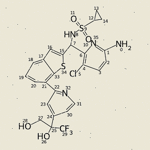 Nc1ccc(Cl)c(C(NS(=O)(=O)C2CC2)c2cc3cccc(-c4cc(C(O)(CO)C(F)(F)F)ccn4)c3s2)n1